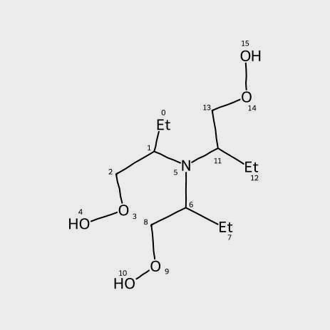 CCC(COO)N(C(CC)COO)C(CC)COO